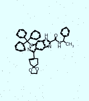 CC(NC(=O)c1nc2cc3c(C4=CCC5(CC4)OCCO5)nn(C(c4ccccc4)(c4ccccc4)c4ccccc4)c3cc2[nH]1)c1ccccc1